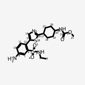 CCNS(=O)(=O)c1cc(N)ccc1-c1cnc(C2CCC(NC(=O)OC)CC2)s1